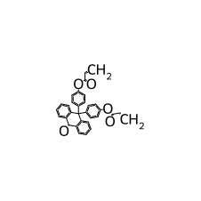 C=CC(=O)Oc1ccc(C2(c3ccc(OC(=O)C=C)cc3)c3ccccc3C(=O)c3ccccc32)cc1